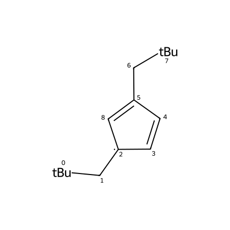 CC(C)(C)C[C]1C=CC(CC(C)(C)C)=C1